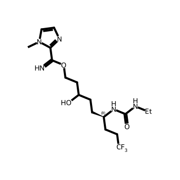 CCNC(=O)N[C@H](CCC(O)CCOC(=N)c1nccn1C)CCC(F)(F)F